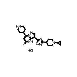 Cl.O=c1cc(C2CCNCC2)n2ncc(-c3nc(C4CCN(C5CC5)CC4)no3)c2[nH]1